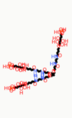 CC(COCCC(=O)NCCCNC(=O)CCCCOC(O)C(O)C(O)C(O)CCOP(=O)(O)O)(COCCC(=O)NCCCNC(=O)CCCCOC(O)C(O)C(O)C(O)CCOP(=O)(O)O)COCCC(=O)NCCCNC(=O)CCCCOC(O)C(O)C(O)C(O)CCOP(=O)(O)O